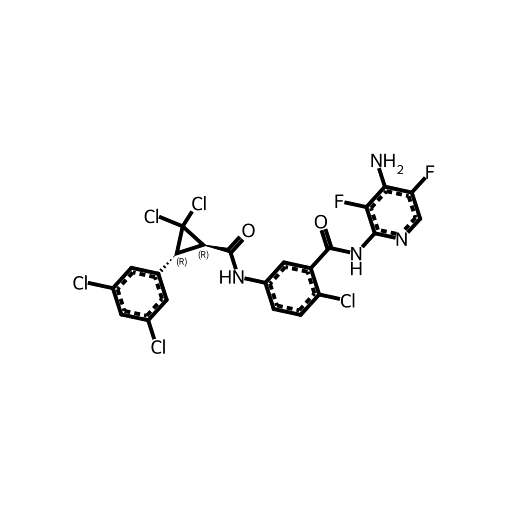 Nc1c(F)cnc(NC(=O)c2cc(NC(=O)[C@H]3[C@H](c4cc(Cl)cc(Cl)c4)C3(Cl)Cl)ccc2Cl)c1F